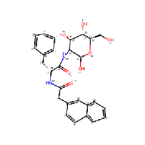 O=C(Cc1ccc2ccccc2c1)N[C@H](Cc1ccccc1)C(=O)NC1C(O)O[C@H](CO)[C@@H](O)[C@@H]1O